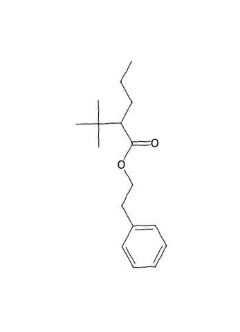 CCCC(C(=O)OCCc1ccccc1)C(C)(C)C